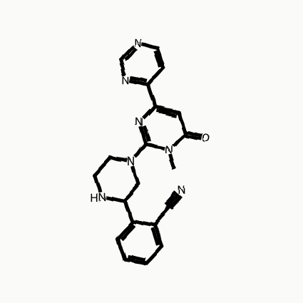 Cn1c(N2CCNC(c3ccccc3C#N)C2)nc(-c2ccncn2)cc1=O